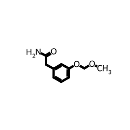 COCOc1cccc(CC(N)=O)c1